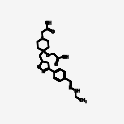 CCNN=Cc1ccc(C2=NOC(CC3(OCC(=O)O)CCN(CC(=O)O)CC3)C2)cc1